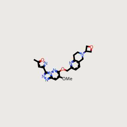 COc1cc2nnc(-c3cc(C)on3)n2nc1OCc1ccc2c(n1)CCN(C1COC1)C2